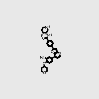 N#Cc1cc(-c2ccnc3cc(-c4ccc(C(=O)N[C@H]5CNCC[C@H]5F)cc4)oc23)ccc1OC1CCOCC1